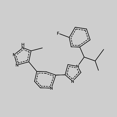 Cc1[nH]nnc1-c1ccnc(-c2cn(C(c3cccc(F)c3)C(C)C)cn2)c1